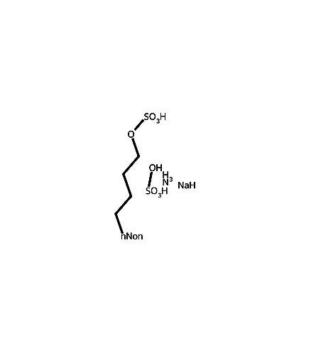 CCCCCCCCCCCCCOS(=O)(=O)O.N.O=S(=O)(O)O.[NaH]